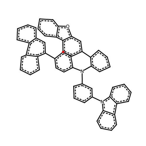 c1cc(N(c2ccc(-c3cc4ccccc4c4ccccc34)cc2)c2ccccc2-c2ccc3c(c2)oc2ccccc23)cc(-n2c3ccccc3c3ccccc32)c1